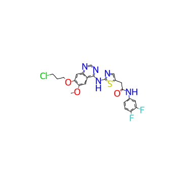 COc1cc2c(Nc3ncc(CC(=O)Nc4ccc(F)c(F)c4)s3)ncnc2cc1OCCCCl